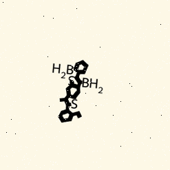 Bc1ccccc1-c1sc2cc3c(C)c(-c4ccccc4C=C)sc3cc2c1B